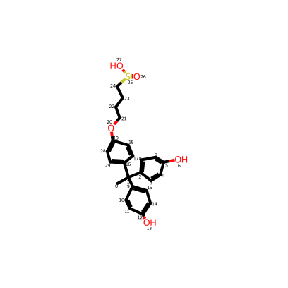 CC(c1ccc(O)cc1)(c1ccc(O)cc1)c1ccc(OCCCCS(=O)O)cc1